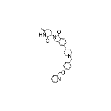 C=C1CCC(N2Cc3cc(C4CCN(Cc5ccc(OCc6ccccn6)cc5)CC4)ccc3C2=O)C(=O)N1